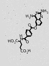 Nc1nc(N)c2cc(OC(=O)c3ccc(C(=O)NC(CCC(=O)O)C(=O)O)cc3)ccc2n1